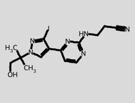 CC(C)(CO)n1cc(-c2ccnc(NCCC#N)n2)c(I)n1